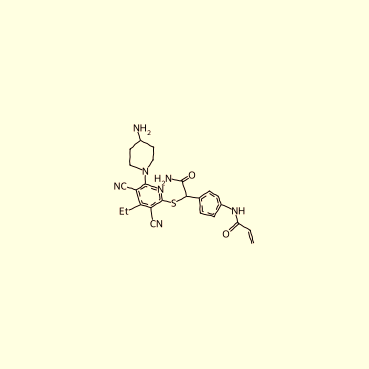 C=CC(=O)Nc1ccc(C(Sc2nc(N3CCC(N)CC3)c(C#N)c(CC)c2C#N)C(N)=O)cc1